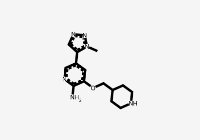 Cn1nncc1-c1cnc(N)c(OCC2CCNCC2)c1